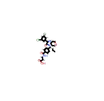 CCC[C@H](c1ccc(C(=O)NCCC(=O)O)cc1)N1C(=O)C(c2cc(Cl)cc(Cl)c2)=NC12CCOCC2